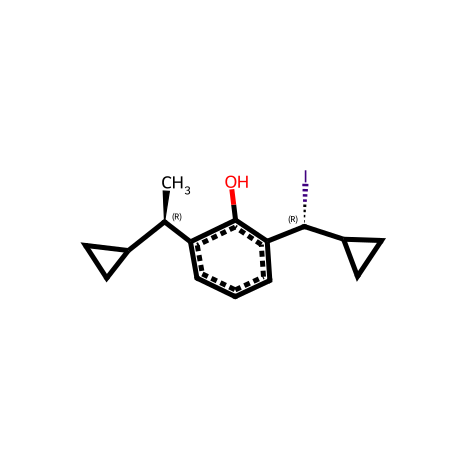 C[C@@H](c1cccc([C@H](I)C2CC2)c1O)C1CC1